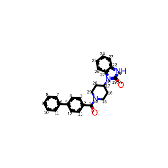 O=C(c1ccc(-c2ccccc2)cc1)N1CCC(n2c(=O)[nH]c3ccccc32)CC1